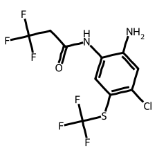 Nc1cc(Cl)c(SC(F)(F)F)cc1NC(=O)CC(F)(F)F